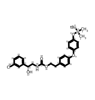 CC(C)(C)[Si](C)(C)Oc1ccc(Oc2ccc(CCOC(=O)NC[C@H](O)c3cccc(Cl)c3)cc2)cc1